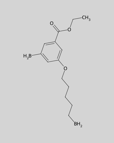 BCCCCCOc1cc(B)cc(C(=O)OCC)c1